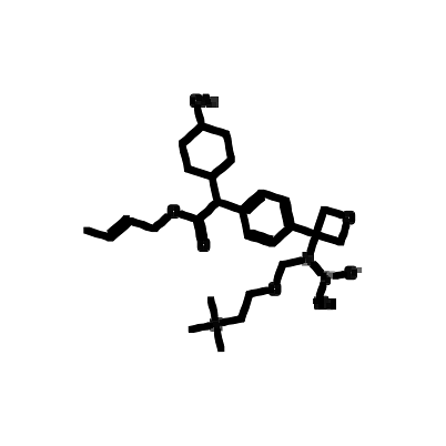 C/C=C/COC(=O)C(c1ccc(C2(N(COCC[Si](C)(C)C)[S+]([O-])C(C)(C)C)COC2)cc1)C1CCC(OC(C)=O)CC1